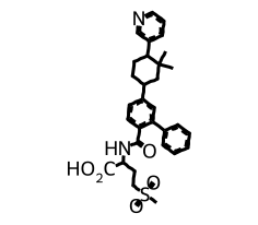 CC1(C)CC(c2ccc(C(=O)NC(CCS(C)(=O)=O)C(=O)O)c(-c3ccccc3)c2)CCC1c1cccnc1